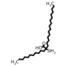 CCCCCCCCCCCCCCCCC([SiH3])(CCCCCCCCCCC)C(=O)O